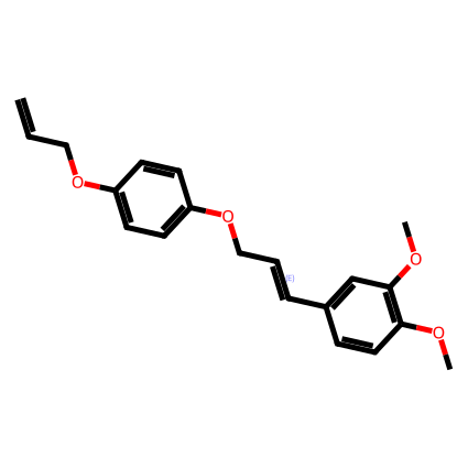 C=CCOc1ccc(OC/C=C/c2ccc(OC)c(OC)c2)cc1